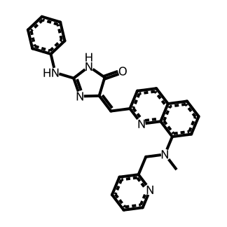 CN(Cc1ccccn1)c1cccc2ccc(C=C3N=C(Nc4ccccc4)NC3=O)nc12